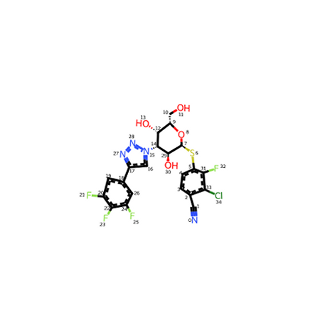 N#Cc1ccc(S[C@@H]2O[C@@H](CO)[C@@H](O)[C@@H](n3cc(-c4cc(F)c(F)c(F)c4)nn3)[C@@H]2O)c(F)c1Cl